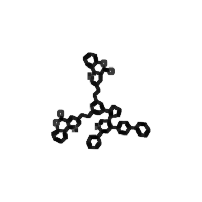 O=c1oc2ccccc2c2ncc(CCc3cc(CCc4cnc5c(c4)c(=O)oc4ccccc45)cc(C4=C(c5cnc(-c6ccccc6)cc5-c5ccc(-c6ccccc6)cc5)C=CC4)c3)cc12